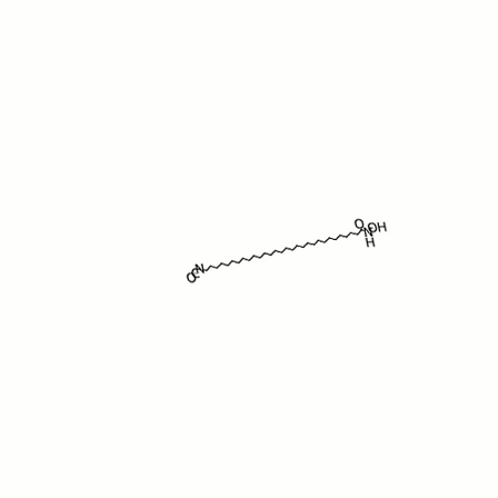 O=C=NCCCCCCCCCCCCCCCCCCCCCCCCCCCCCC(=O)NO